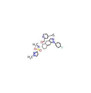 CN([C@H]1CCC2=Cc3c(cnn3-c3ccc(F)cc3)C[C@]2(C(=O)c2cc(C3CC3)ccn2)C1)S(=O)(=O)c1ccn(C)n1